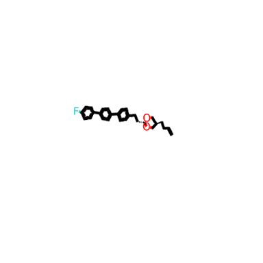 C=CCC[C@H]1CO[C@H](CCc2ccc(-c3ccc(-c4ccc(F)cc4)cc3)cc2)OC1